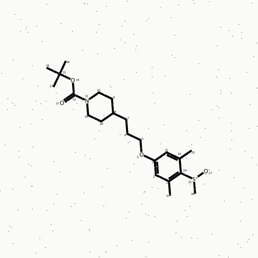 Cc1cc(OCCCC2CCN(C(=O)OC(C)(C)C)CC2)cc(C)c1[S+](C)[O-]